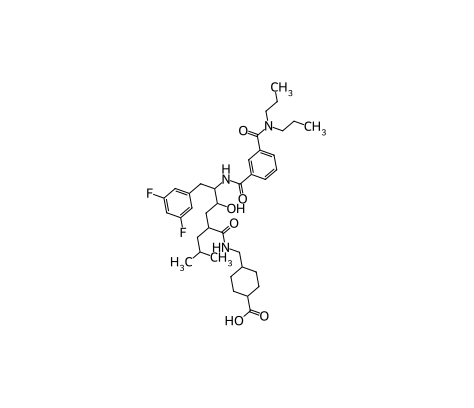 CCCN(CCC)C(=O)c1cccc(C(=O)NC(Cc2cc(F)cc(F)c2)C(O)CC(CC(C)C)C(=O)NCC2CCC(C(=O)O)CC2)c1